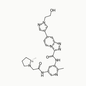 Cc1ncc(NC(=O)CN2CCC[C@@H]2C)cc1NC(=O)c1nnc2cc(-c3cnn(CCO)c3)ccn12